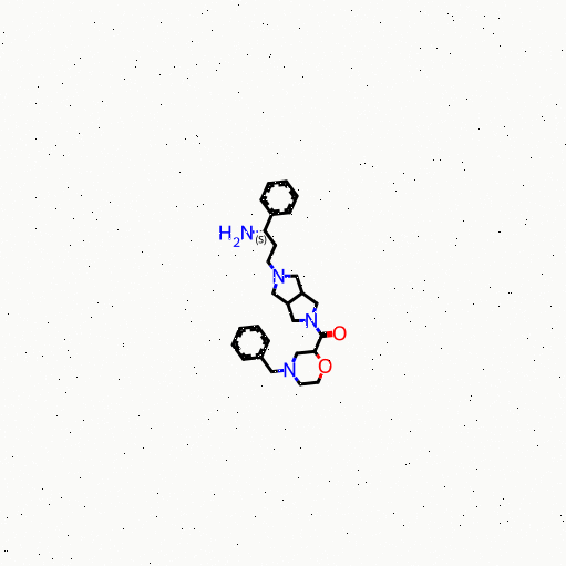 N[C@@H](CCN1CC2CN(C(=O)C3CN(Cc4ccccc4)CCO3)CC2C1)c1ccccc1